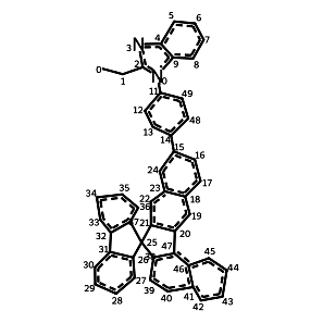 CCc1nc2ccccc2n1-c1ccc(-c2ccc3cc4c(cc3c2)C2(c3ccccc3-c3ccccc32)c2ccc3ccccc3c2-4)cc1